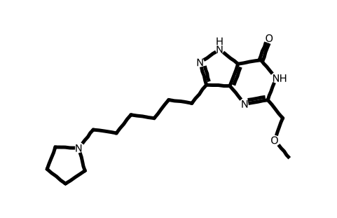 COCc1nc2c(CCCCCCN3CCCC3)n[nH]c2c(=O)[nH]1